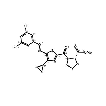 COC(=O)[C@@H]1CCCN1C(=O)c1cc(C2CC2)c(COc2cc(Cl)cc(Cl)c2)s1